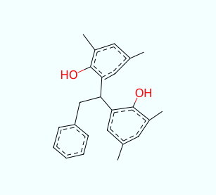 Cc1cc(C)c(O)c(C(Cc2ccccc2)c2cc(C)cc(C)c2O)c1